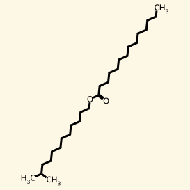 CCCCCCCCCCCCCC(=O)OCCCCCCCCCCC(C)C